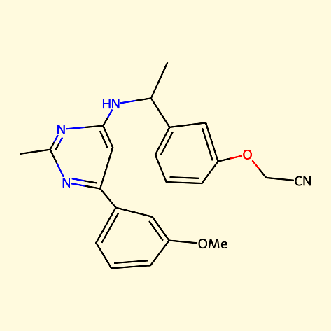 COc1cccc(-c2cc(NC(C)c3cccc(OCC#N)c3)nc(C)n2)c1